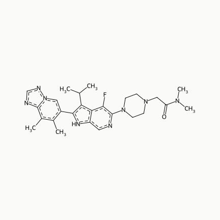 Cc1c(-c2[nH]c3cnc(N4CCN(CC(=O)N(C)C)CC4)c(F)c3c2C(C)C)cn2ncnc2c1C